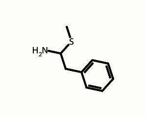 CSC(N)Cc1ccccc1